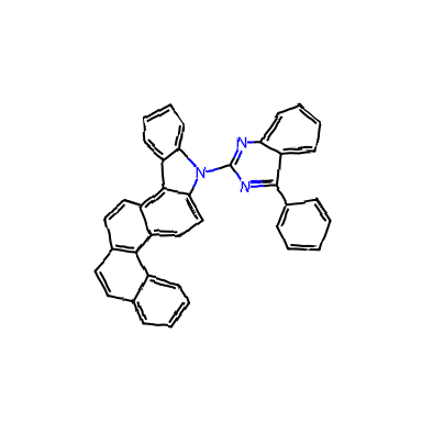 c1ccc(-c2nc(-n3c4ccccc4c4c5ccc6ccc7ccccc7c6c5ccc43)nc3ccccc23)cc1